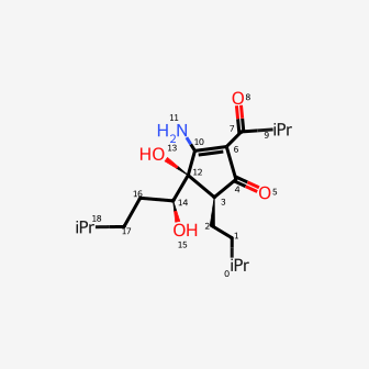 CC(C)CC[C@@H]1C(=O)C(C(=O)C(C)C)=C(N)[C@@]1(O)[C@@H](O)CCC(C)C